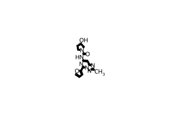 Cc1nc2cc(NC(=O)N3CC[C@H](O)C3)nc(-c3ccco3)n2n1